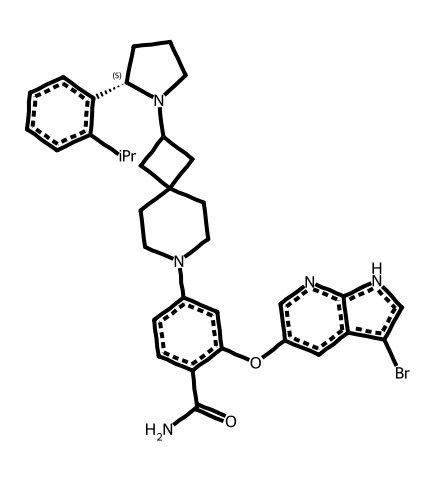 CC(C)c1ccccc1[C@@H]1CCCN1C1CC2(CCN(c3ccc(C(N)=O)c(Oc4cnc5[nH]cc(Br)c5c4)c3)CC2)C1